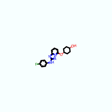 O[C@H]1CC[C@@H](Oc2cccc3nc(Nc4ccc(F)cc4)nn23)CC1